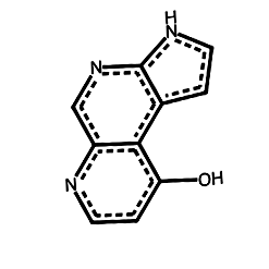 Oc1ccnc2cnc3[nH]ccc3c12